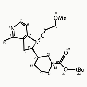 COCCCN1c2ccnc(C)c2CC1[C@@H]1CCCN(C(=O)OC(C)(C)C)C1